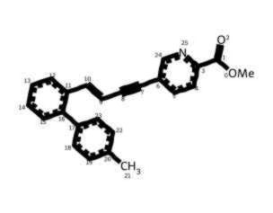 COC(=O)c1ccc(C#C/C=C/c2ccccc2-c2ccc(C)cc2)cn1